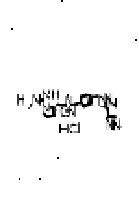 Cl.Cn1cc(-c2cn(Cc3ccc(-c4noc(C[C@@H]5CCCN5C(=N)N)n4)cc3)nn2)cn1